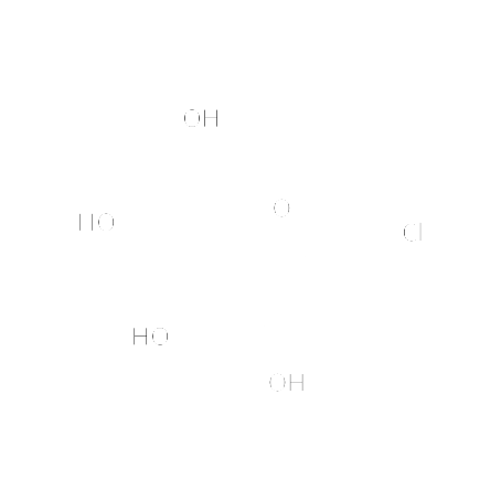 OC1OC(CCl)[C@H](O)[C@H](O)C1O